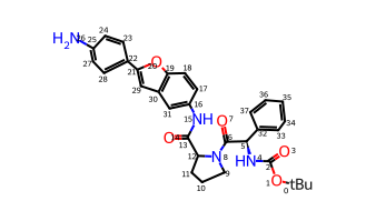 CC(C)(C)OC(=O)N[C@@H](C(=O)N1CCCC1C(=O)Nc1ccc2oc(-c3ccc(N)cc3)cc2c1)c1ccccc1